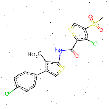 CS(=O)(=O)c1csc(C(=O)Nc2scc(-c3ccc(Cl)cc3)c2C(=O)O)c1Cl